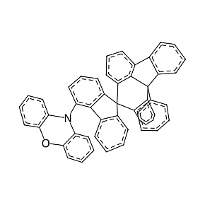 c1ccc(C23c4ccccc4-c4cccc(c42)C2(c4ccccc4-c4c(N5c6ccccc6Oc6ccccc65)cccc42)c2ccccc23)cc1